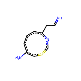 N=CCc1cccc(N)cscn1